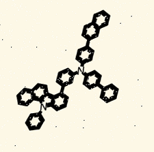 c1ccc(-c2ccc(N(c3ccc(-c4ccc5ccccc5c4)cc3)c3cccc(-c4cccc5c4c4ccc6ccccc6c4n5-c4ccccc4)c3)cc2)cc1